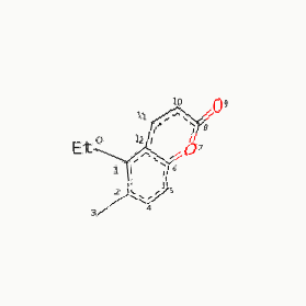 CCc1c(C)ccc2oc(=O)ccc12